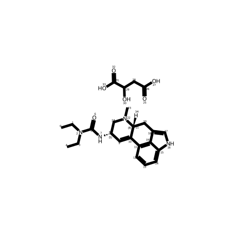 CCN(CC)C(=O)N[C@H]1C=C2c3cccc4[nH]cc(c34)C[C@H]2N(C)C1.O=C(O)CC(O)C(=O)O